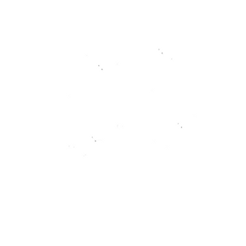 CC(C)C(=O)N1CCc2ccc(C(N)=O)cc21.NCc1cccc(C(=O)N(CC(=O)O)c2ccccc2)c1.O=C(O)C(F)(F)F